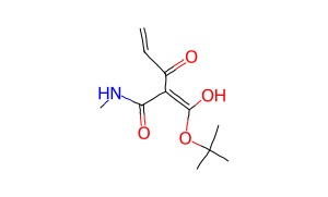 C=CC(=O)/C(C(=O)NC)=C(\O)OC(C)(C)C